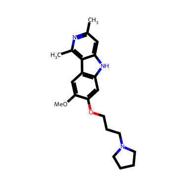 COc1cc2c(cc1OCCCN1CCCC1)[nH]c1cc(C)nc(C)c12